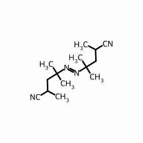 CC(C#N)CC(C)(C)/N=N/C(C)(C)CC(C)C#N